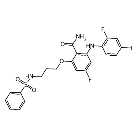 NC(=O)c1c(Nc2ccc(I)cc2F)cc(F)cc1OCCCNS(=O)(=O)c1ccccc1